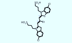 CCC(/C=C1\Sc2ccc(Cl)cc2N1CCCS(=O)(=O)O)=C\C1=[N+](CCCS(=O)(=O)O)c2cc(Cl)ccc2C1